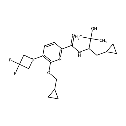 CC(C)(O)C(CC1CC1)NC(=O)c1ccc(N2CC(F)(F)C2)c(OCC2CC2)n1